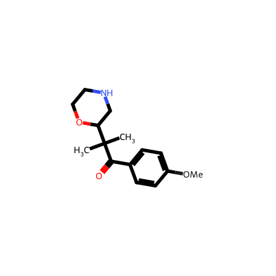 COc1ccc(C(=O)C(C)(C)C2CNCCO2)cc1